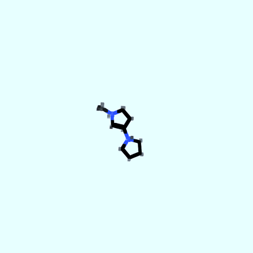 CC(=O)N1C=C(N2CCCC2)CC1